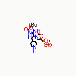 CC(C)(C)OC(=O)NC(=N)C(CC1CCNCC1)N1CC(COS(C)(=O)=O)OC1=O